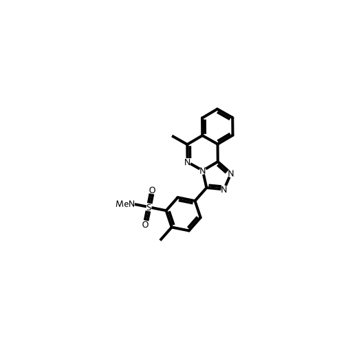 CNS(=O)(=O)c1cc(-c2nnc3c4ccccc4c(C)nn23)ccc1C